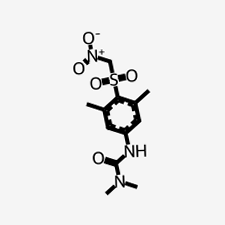 Cc1cc(NC(=O)N(C)C)cc(C)c1S(=O)(=O)C[N+](=O)[O-]